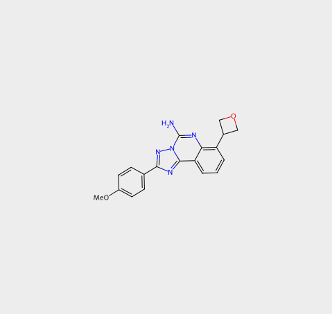 COc1ccc(-c2nc3c4cccc(C5COC5)c4nc(N)n3n2)cc1